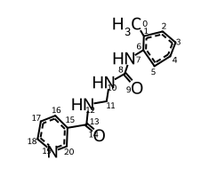 Cc1ccccc1NC(=O)NCNC(=O)c1cccnc1